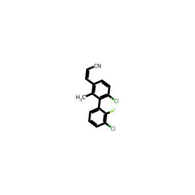 Cc1c(/C=C\C#N)ccc(Cl)c1-c1cccc(Cl)c1F